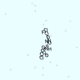 O=C1C[C@H](C(=O)N[C@]23C[C@](c4nc(COc5ccc(Cl)c(F)c5)no4)(C2)C3)Oc2ccc(Cl)cc21